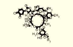 CC[C@H]1OC(=O)[C@H](C)[C@@H](O[C@H]2C[C@@](C)(OC)[C@@H](O)[C@H](C)O2)[C@H](C)[C@@H](O[C@@H]2O[C@H](C)C[C@H](N(C)CCc3cn(C[C@H]4CN(c5ccc(Cl)c(Cl)c5)C(=O)O4)nn3)[C@H]2O)[C@](C)(O)C[C@@H](C)CN(C)[C@H](C)[C@@H](O)[C@]1(C)O